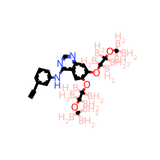 BC(B)(B)OC(B)(B)C(B)(B)Oc1cc2ncnc(Nc3cccc(C#C)c3)c2cc1OC(B)(B)C(B)(B)OC(B)(B)B